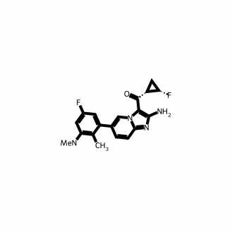 CNc1cc(F)cc(-c2ccc3nc(N)c(C(=O)[C@@H]4C[C@@H]4F)n3c2)c1C